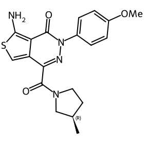 COc1ccc(-n2nc(C(=O)N3CC[C@@H](C)C3)c3csc(N)c3c2=O)cc1